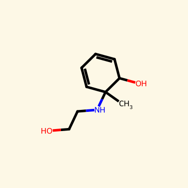 CC1(NCCO)C=CC=CC1O